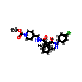 CC(C)(C)OC(=O)N1CCC(CNC(=O)[C@H]2[C@H](C(=O)Nc3ccc(Br)cc3)[C@@H]3C=C[C@H]2C32CC2)CC1